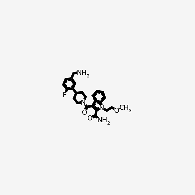 COCCn1c(C(N)=O)c(C(=O)N2CCC(c3cc(CN)ccc3F)CC2)c2[c]cccc21